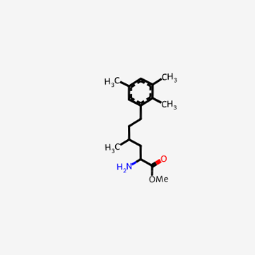 COC(=O)C(N)CC(C)CCc1cc(C)cc(C)c1C